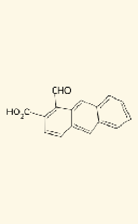 O=Cc1c(C(=O)O)ccc2cc3ccccc3cc12